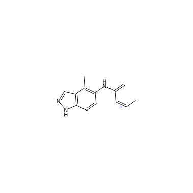 C=C(/C=C\C)Nc1ccc2[nH]ncc2c1C